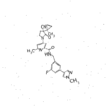 Cc1cc(N2CCC(C#N)(C3(C)CC3)C2=O)cc(C(=O)NCc2cc(F)cc(-c3cnn(C)c3)c2)n1